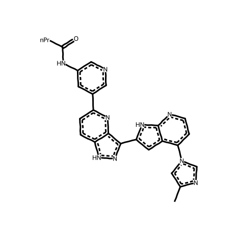 CCCC(=O)Nc1cncc(-c2ccc3[nH]nc(-c4cc5c(-n6cnc(C)c6)ccnc5[nH]4)c3n2)c1